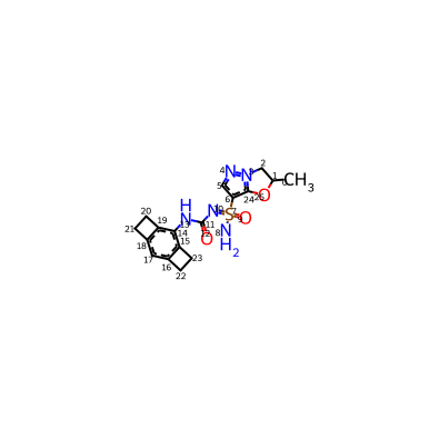 CC1Cn2ncc(S(N)(=O)=NC(=O)Nc3c4c(cc5c3CC5)CC4)c2O1